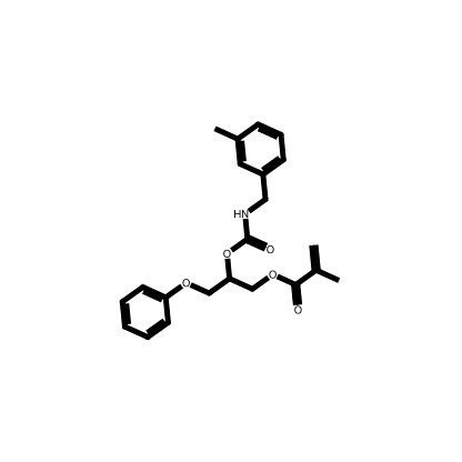 C=C(C)C(=O)OCC(COc1ccccc1)OC(=O)NCc1cccc(C)c1